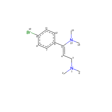 CN(C)CC=C(c1ccc(Br)cc1)N(C)C